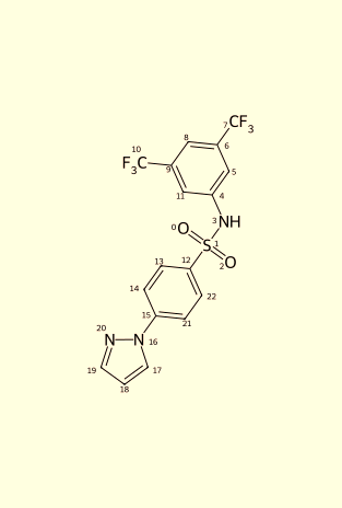 O=S(=O)(Nc1cc(C(F)(F)F)cc(C(F)(F)F)c1)c1ccc(-n2cccn2)cc1